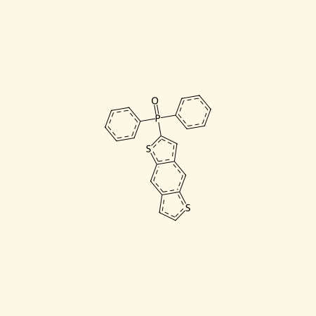 O=P(c1ccccc1)(c1ccccc1)c1cc2cc3sccc3cc2s1